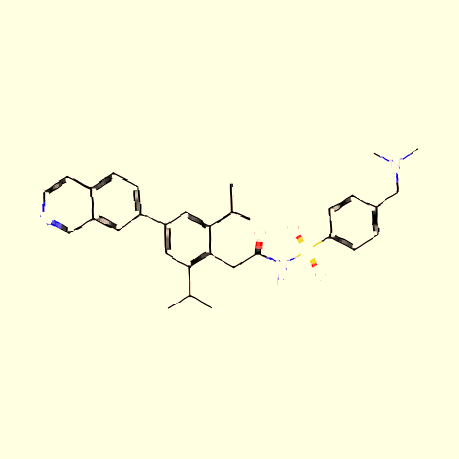 CC(C)c1cc(-c2ccc3ccncc3c2)cc(C(C)C)c1CC(=O)NS(=O)(=O)c1ccc(CN(C)C)cc1